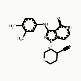 Cc1ccc(Nc2nn([C@H]3COCCC3C#N)c3cc[nH]c(=O)c23)cc1C